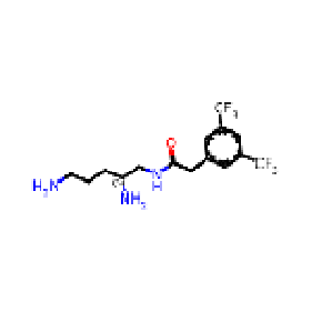 NCCC[C@H](N)CNC(=O)Cc1cc(C(F)(F)F)cc(C(F)(F)F)c1